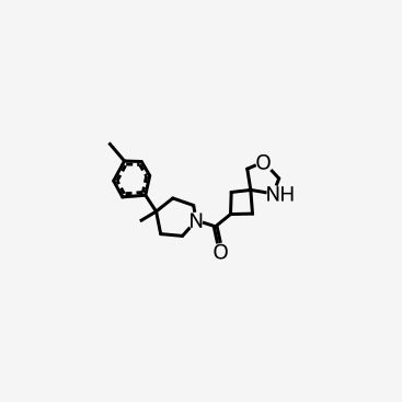 Cc1ccc(C2(C)CCN(C(=O)C3CC4(COCN4)C3)CC2)cc1